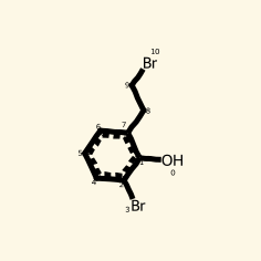 Oc1c(Br)cccc1CCBr